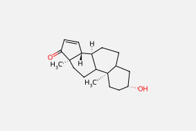 C[C@@]12CC[C@@H](O)CC1CC[C@H]1C2CC[C@@]2(C)C(=O)C=C[C@H]12